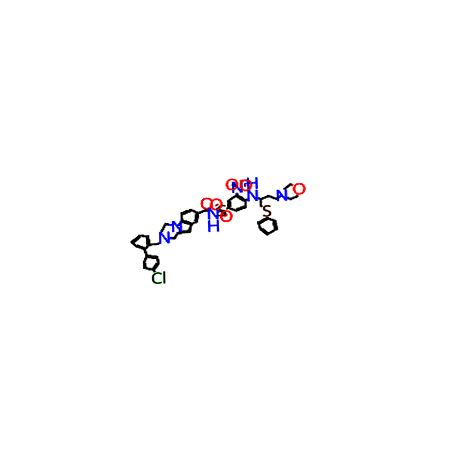 O=C(NS(=O)(=O)c1ccc(NC(CCN2CCOCC2)CSc2ccccc2)c([N+](=O)[O-])c1)c1ccc2c(c1)cc1n2CCN(Cc2ccccc2-c2ccc(Cl)cc2)C1